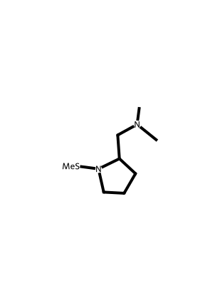 CSN1CCCC1CN(C)C